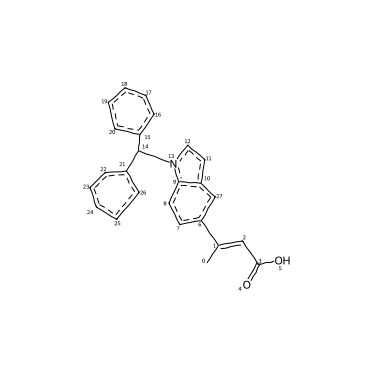 CC(=CC(=O)O)c1ccc2c(ccn2C(c2ccccc2)c2ccccc2)c1